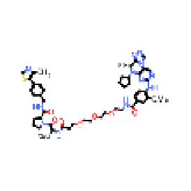 CC[C@@H]1c2nncn2-c2cnc(Nc3ccc(C(=O)NCCOCCOCCOCCC(=O)N[C@H](C(=O)N4CCC[C@H]4C(=O)NCc4ccc(-c5scnc5C)cc4)C(C)(C)C)cc3OC)nc2N1C1CCCC1